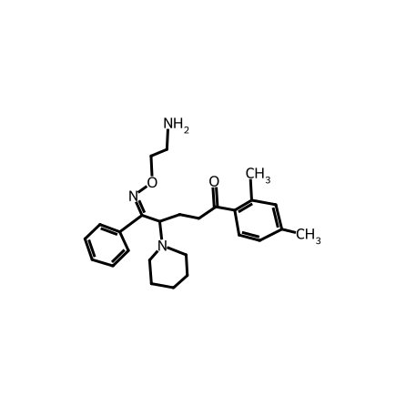 Cc1ccc(C(=O)CCC(C(=NOCCN)c2ccccc2)N2CCCCC2)c(C)c1